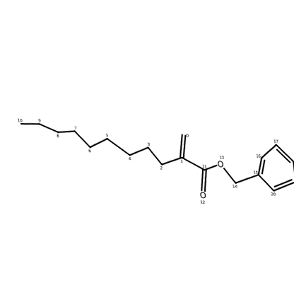 C=C(CCCCCCCCC)C(=O)OCc1ccccc1